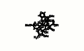 CCC12OC3(C)OC14C(C(C)(C)C(OC(C)=O)c1ccoc1)C(C(=O)C(C)C)C(=O)OC4C1(O)C(OC(C)=O)C4(C)CC1(O3)C2(C)C4CC(=O)OC